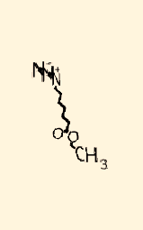 CCOC(=O)CCCCCCN=[N+]=[N-]